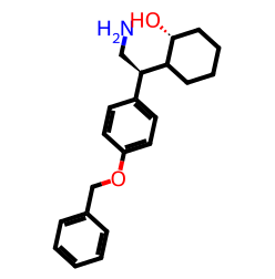 NC[C@H](c1ccc(OCc2ccccc2)cc1)C1CCCC[C@H]1O